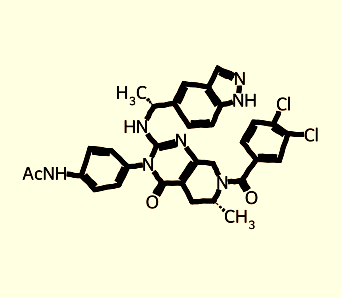 CC(=O)Nc1ccc(-n2c(N[C@H](C)c3ccc4[nH]ncc4c3)nc3c(c2=O)C[C@@H](C)N(C(=O)c2ccc(Cl)c(Cl)c2)C3)cc1